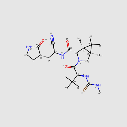 CNC(=S)N[C@H](C(=O)N1C[C@H]2[C@@H]([C@H]1C(=O)N[C@H](C#N)C[C@@H]1CCNC1=O)C2(C)C)C(C)(C)C